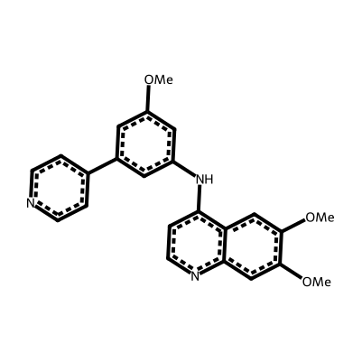 COc1cc(Nc2ccnc3cc(OC)c(OC)cc23)cc(-c2ccncc2)c1